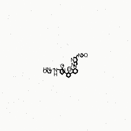 COc1nc(-c2cccc(-c3cccc(-n4cc5cc(CN6CC(OC)C6)cnc5n4)c3Cl)c2Cl)ccc1CNC[C@@H]1CCC(=O)N1